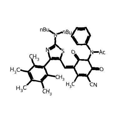 CCCCN(CCCC)c1nc(-c2c(C)c(C)c(C)c(C)c2C)c(/C=C2\C(=O)C(N(C(C)=O)c3ccccc3)C(=O)C(C#N)=C2C)s1